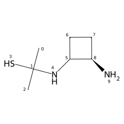 CC(C)(S)NC1CC[C@H]1N